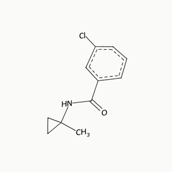 CC1(NC(=O)c2cccc(Cl)c2)CC1